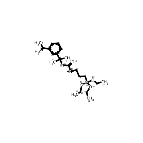 C=C(C)c1cccc(C(C)(C)NC(=O)NCCC[Si](OCC)(OCC)OCC)c1